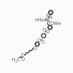 C=CC(=O)OCCCCCCOc1ccc(OC(=O)[C@H]2CC[C@@H](C(=O)Oc3ccc(OC)c(/C=N/N(CCCCCC)c4nc5ccccc5s4)c3)CC2)cc1